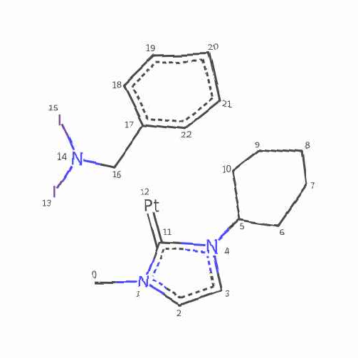 Cn1ccn(C2CCCCC2)[c]1=[Pt].IN(I)Cc1ccccc1